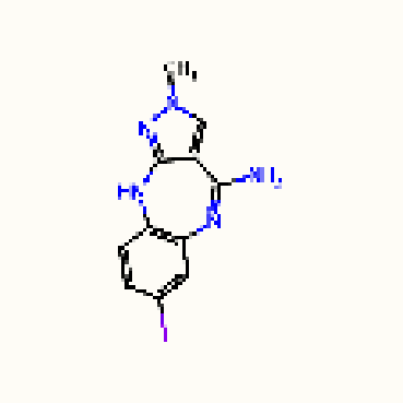 Cn1cc2c(n1)Nc1ccc(I)cc1N=C2N